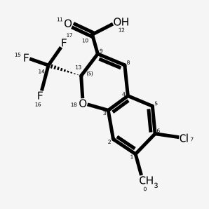 Cc1cc2c(cc1Cl)C=C(C(=O)O)[C@@H](C(F)(F)F)O2